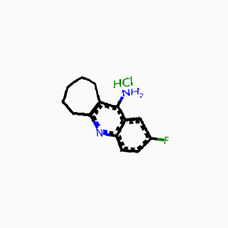 Cl.Nc1c2c(nc3ccc(F)cc13)CCCCC2